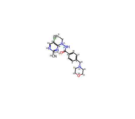 CC(C)CN(NC(=O)c1ccc(CN2CCOCC2)cc1)c1nc(C#N)ncc1Br